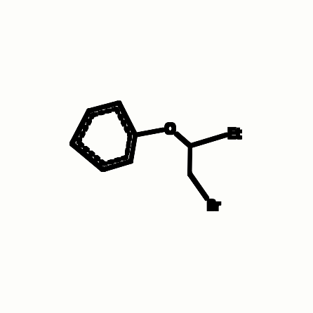 CCC(CBr)Oc1ccccc1